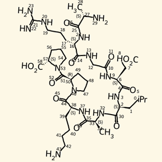 CC(C)C[C@H](NC(=O)[C@H](CC(=O)O)NC(=O)CNC(=O)[C@H](CCCNC(=N)N)NC(=O)[C@H](C)N)C(=O)N[C@@H](C)C(=O)N[C@@H](CCCCN)C(=O)N1CCC[C@@H]1C(=O)N1CCC[C@H]1C(=O)O